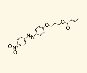 CC=CC(=O)OCCCOc1ccc(/N=N/c2ccc([N+](=O)[O-])cc2)cc1